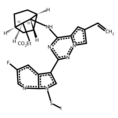 C=Cc1cc2c(N[C@H]3[C@H]4CC[C@H](CC4)[C@@H]3C(=O)OCC)nc(-c3cn(SI)c4ncc(F)cc34)nn2c1